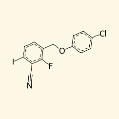 N#Cc1c(I)ccc(COc2ccc(Cl)cc2)c1F